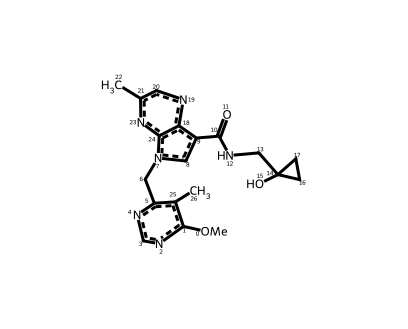 COc1ncnc(Cn2cc(C(=O)NCC3(O)CC3)c3ncc(C)nc32)c1C